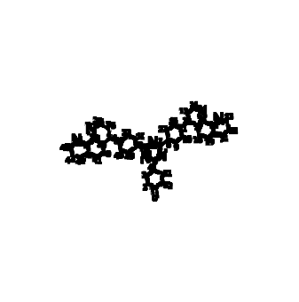 Cc1ccc(-c2nc(-c3ccc(-c4ccnc5c4ccc4cccnc45)cc3)nc(-c3ccc(C4CC=Nc5c4ccc4cccnc54)cc3)n2)cc1